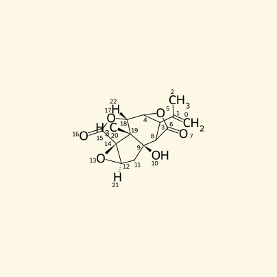 C=C(C)C1C2OC(=O)C1[C@]1(O)C[C@H]3O[C@]34C(=O)O[C@H]2[C@]14C